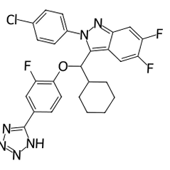 Fc1cc2nn(-c3ccc(Cl)cc3)c(C(Oc3ccc(-c4nnn[nH]4)cc3F)C3CCCCC3)c2cc1F